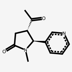 CC(=O)[C@H]1CC(=O)N(C)[C@@H]1c1cccnc1